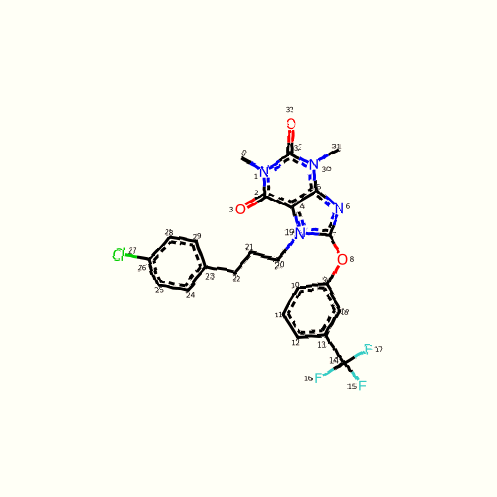 Cn1c(=O)c2c(nc(Oc3cccc(C(F)(F)F)c3)n2CCCc2ccc(Cl)cc2)n(C)c1=O